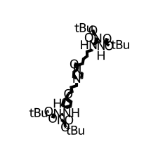 CC(C)(C)OC(=O)/N=C(\NCCCCCC(=O)N1CCN(CCCOc2ccc(N/C(=N\C(=O)OC(C)(C)C)NC(=O)OC(C)(C)C)cc2)CC1)NC(=O)OC(C)(C)C